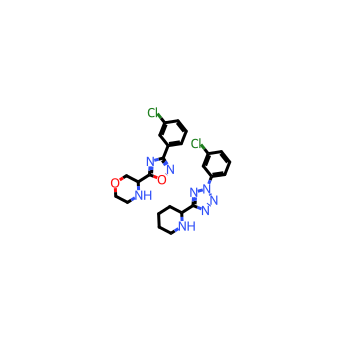 Clc1cccc(-c2noc(C3COCCN3)n2)c1.Clc1cccc(-n2nnc(C3CCCCN3)n2)c1